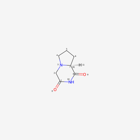 O=C1CN2CCC[C@H]2C(=O)N1